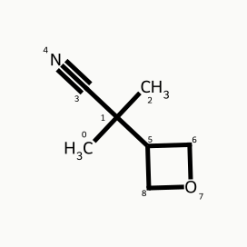 CC(C)(C#N)C1COC1